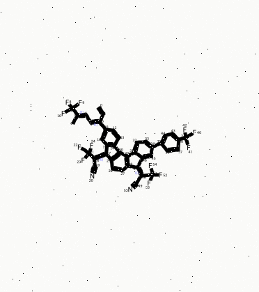 C=C/C(=C\C=C(/C)C(F)(F)F)c1ccc2c(c1)/C(=C(/C#N)C(F)(F)F)c1ccc3c(c1-2)-c1ccc(-c2ccc(C(F)(F)F)cc2)cc1/C3=C(/C#N)C(F)(F)F